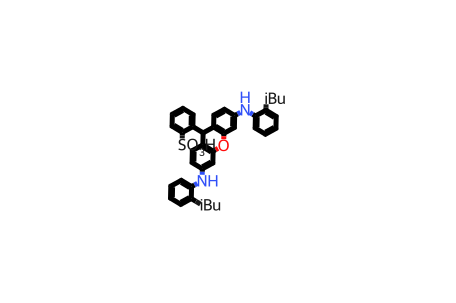 CCC(C)c1ccccc1Nc1ccc2c(c1)Oc1cc(Nc3ccccc3C(C)CC)ccc1C2c1ccccc1S(=O)(=O)O